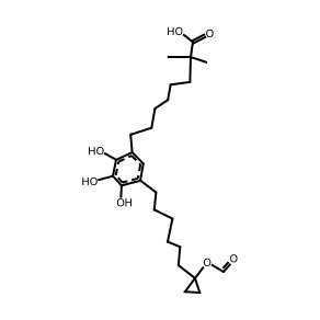 CC(C)(CCCCCCc1cc(CCCCCCC2(OC=O)CC2)c(O)c(O)c1O)C(=O)O